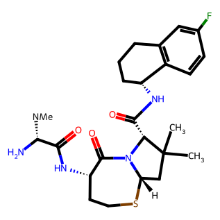 CN[C@@H](N)C(=O)N[C@H]1CCS[C@H]2CC(C)(C)[C@@H](C(=O)N[C@@H]3CCCc4cc(F)ccc43)N2C1=O